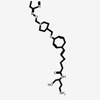 C=N/C(CC)=N\OCN1CCC(COC2C=CCC(/C=C/CCCC(=O)NC(CO)CCN)C=C2)CC1